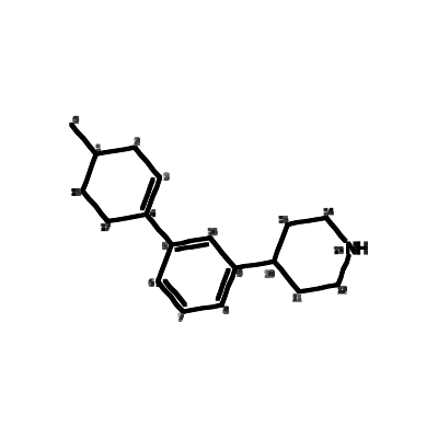 CC1CC=C(c2[c]ccc(C3CCNCC3)c2)CC1